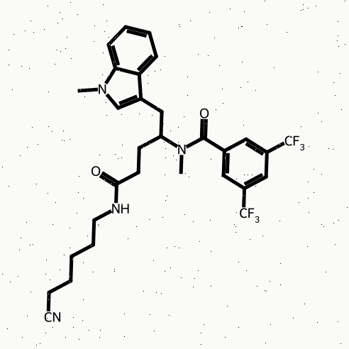 CN(C(=O)c1cc(C(F)(F)F)cc(C(F)(F)F)c1)C(CCC(=O)NCCCCCC#N)Cc1cn(C)c2ccccc12